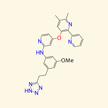 COc1cc(CCc2nn[nH]n2)cc(Nc2cc(Oc3cc(C)c(C)nc3-c3ccccn3)ccn2)c1